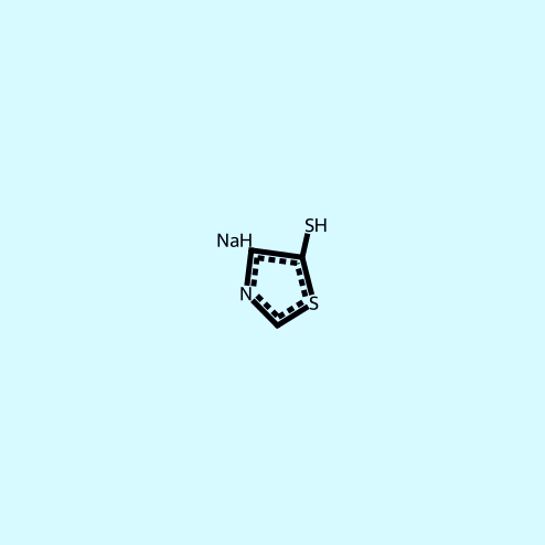 Sc1cncs1.[NaH]